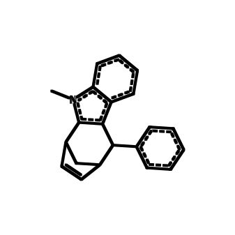 Cn1c2c(c3ccccc31)C(c1ccccc1)C1C=CC2C1